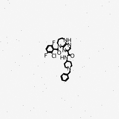 O=C(NC1CCN(Cc2ccccc2)CC1)c1cnc2c(n1)N(C(=O)c1c(F)ccc(F)c1Cl)CCCN2